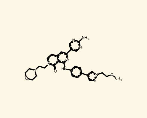 COCCn1cc(-c2ccc(Nc3nc(-c4cnc(N)nc4)cc4ccn(CCN5CCOCC5)c(=O)c34)cc2)cn1